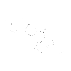 COc1cc(C(=O)NCC2(c3ccc(C(F)(F)F)cc3)CCOCC2)ncc1-n1cnc(C)c1